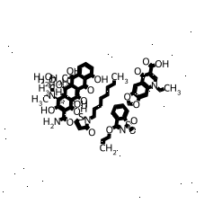 C=CCOC1=NS(=O)(=O)c2ccccc21.CCCCCCCCn1sccc1=O.CCn1cc(C(=O)O)c(=O)c2cc3c(cc21)OCO3.CN(C)[C@@H]1C(O)=C(C(N)=O)C(=O)[C@@]2(O)C(O)=C3C(=O)c4c(O)cccc4[C@@](C)(O)[C@H]3[C@H](O)[C@@H]12.O.O